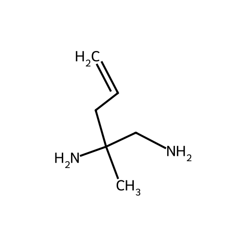 C=CCC(C)(N)CN